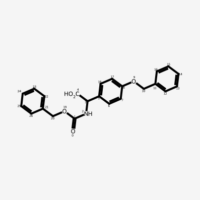 O=C(NC(C(=O)O)c1ccc(OCc2ccccc2)cc1)OCc1ccccc1